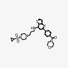 O=C(c1ccc(-c2cc(NCCCN3CCN(S(=O)(=O)C4CC4)CC3)c3sccc3n2)cc1)N1CCOCC1